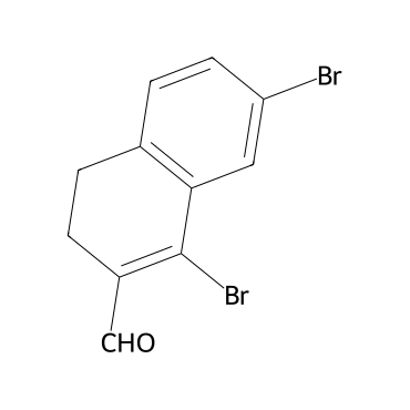 O=CC1=C(Br)c2cc(Br)ccc2CC1